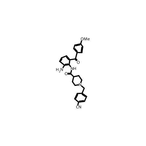 COc1ccc(C(=O)c2cccc(N)c2NC(=O)C2CCN(Cc3ccc(C#N)cc3)CC2)cc1